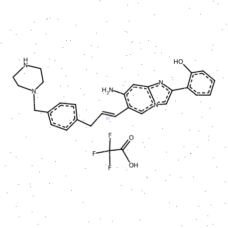 Nc1cc2nc(-c3ccccc3O)cn2cc1/C=C/Cc1ccc(CN2CCNCC2)cc1.O=C(O)C(F)(F)F